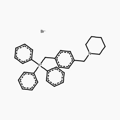 [Br-].c1ccc([P+](Cc2ccc(CN3CCCCC3)cc2)(c2ccccc2)c2ccccc2)cc1